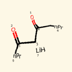 CCCC(=O)CC(=O)CCC.[LiH]